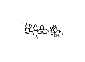 CCOC(=O)c1cn(C[C@]2(O)CCN(C(=O)OC(C)(C)C)CC23CCCC3)c(=O)cc1-c1ccccc1